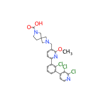 COc1nc(-c2cccc(-c3ccnc(Cl)c3Cl)c2Cl)ccc1CN1CC2(CCN(C(=O)O)C2)C1